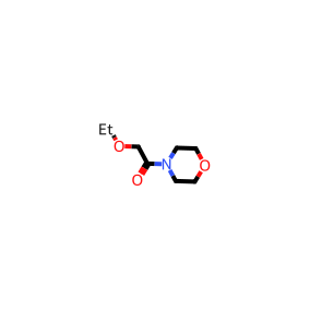 CCOCC(=O)N1CCOCC1